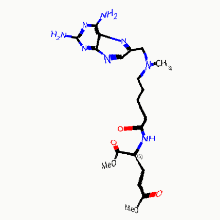 COC(=O)CC[C@H](NC(=O)CCCCN(C)Cc1cnc2nc(N)nc(N)c2n1)C(=O)OC